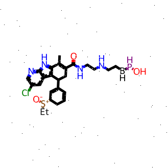 CC[S+]([O-])C1C=C(C2CC(C(=O)NCCNCCBPO)=C(C)c3[nH]c4ncc(Cl)cc4c32)C=CC1